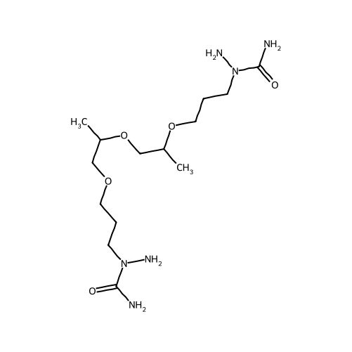 CC(COCCCN(N)C(N)=O)OCC(C)OCCCN(N)C(N)=O